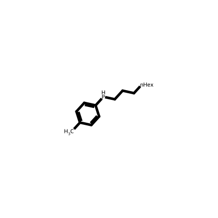 CCCCCCCCCPc1ccc(C)cc1